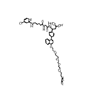 [N-]=[N+]=NCCOCCOCCOCCOCCOc1ccc(-c2ccc(C(CC(=O)O)NC(=O)CNC(=O)CCCCNc3cc(Cl)ccn3)cc2)c2ccccc12